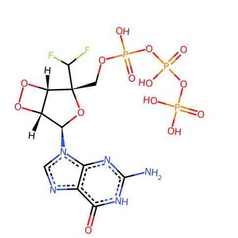 Nc1nc2c(ncn2[C@@H]2O[C@@](COP(=O)(O)OP(=O)(O)OP(=O)(O)O)(C(F)F)[C@H]3OO[C@@H]23)c(=O)[nH]1